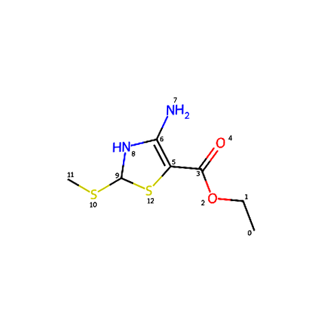 CCOC(=O)C1=C(N)NC(SC)S1